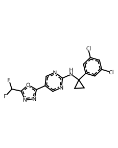 FC(F)c1nnc(-c2cnc(NC3(c4cc(Cl)cc(Cl)c4)CC3)nc2)o1